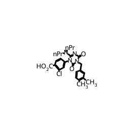 CCCN(CCC)c1nc(=O)n(Cc2ccc(C)c(C)c2)c(=O)n1-c1ccc(C(=O)O)c(Cl)c1